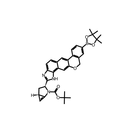 CC(C)(C)OC(=O)N1C2=C[C@@H]2C[C@H]1c1nc2ccc3cc4c(cc3c2[nH]1)OCc1cc(B2OC(C)(C)C(C)(C)O2)ccc1-4